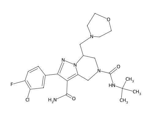 CC(C)(C)NC(=O)N1Cc2c(C(N)=O)c(-c3ccc(F)c(Cl)c3)nn2C(CN2CCOCC2)C1